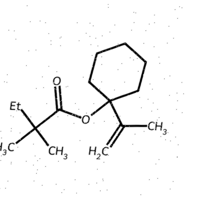 C=C(C)C1(OC(=O)C(C)(C)CC)CCCCC1